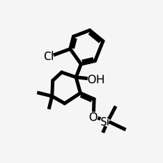 CC1(C)CCC(O)(c2ccccc2Cl)/C(=C/O[Si](C)(C)C)C1